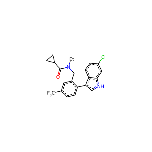 CCN(Cc1cc(C(F)(F)F)ccc1-c1c[nH]c2cc(Cl)ccc12)C(=O)C1CC1